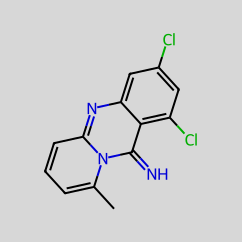 Cc1cccc2nc3cc(Cl)cc(Cl)c3c(=N)n12